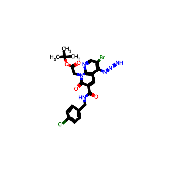 CC(C)(C)OC(=O)Cn1c(=O)c(C(=O)NCc2ccc(Cl)cc2)cc2c(N=[N+]=N)c(Br)cnc21